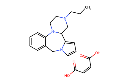 CCCN1CCN2c3ccccc3Cn3cccc3C2C1.O=C(O)/C=C\C(=O)O